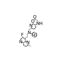 Cc1ccc2ncc(F)c(CCN(Cc3ccc4c(n3)OC(=O)CN4)C34CCC(CC3)OC4)c2n1